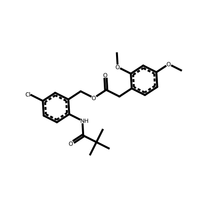 COc1ccc(CC(=O)OCc2cc(Cl)ccc2NC(=O)C(C)(C)C)c(OC)c1